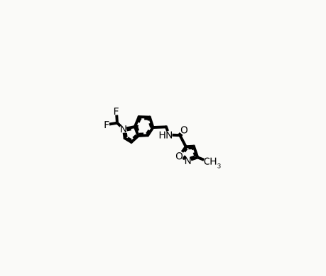 Cc1cc(C(=O)NCc2ccc3c(ccn3C(F)F)c2)on1